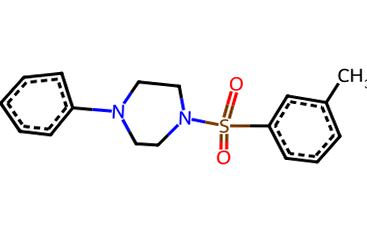 Cc1cccc(S(=O)(=O)N2CCN(c3ccccc3)CC2)c1